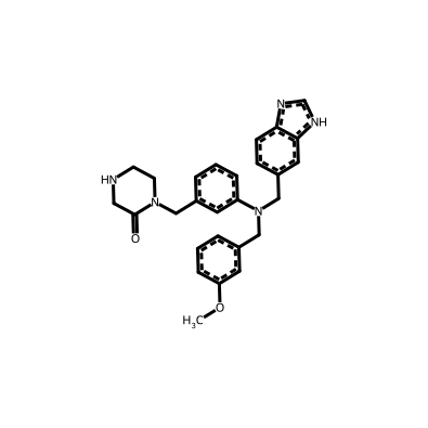 COc1cccc(CN(Cc2ccc3nc[nH]c3c2)c2cccc(CN3CCNCC3=O)c2)c1